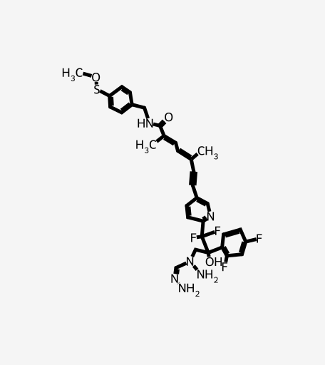 COSc1ccc(CNC(=O)/C(C)=C/C=C(\C)C#Cc2ccc(C(F)(F)C(O)(CN(N)/C=N\N)c3ccc(F)cc3F)nc2)cc1